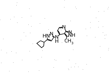 Cc1[nH]nc2nccc(Nc3cc(C4CCCC4)[nH]n3)c12